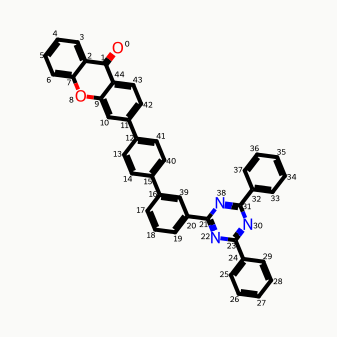 O=c1c2ccccc2oc2cc(-c3ccc(-c4cccc(-c5nc(-c6ccccc6)nc(-c6ccccc6)n5)c4)cc3)ccc12